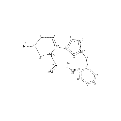 CCC1CC=C(c2cnn(Cc3ccccc3)c2)N(C(=O)OC(C)(C)C)C1